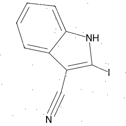 N#Cc1c(I)[nH]c2ccccc12